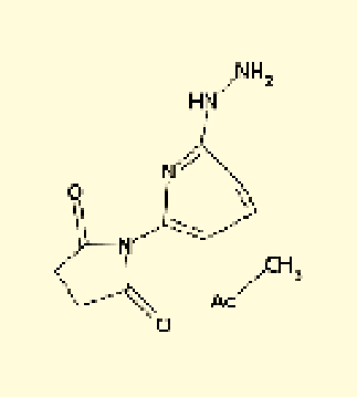 CC(C)=O.NNc1cccc(N2C(=O)CCC2=O)n1